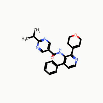 CC(C)c1ncc(C(=O)Nc2c(-c3ccccc3)ccnc2C2=CCOCC2)cn1